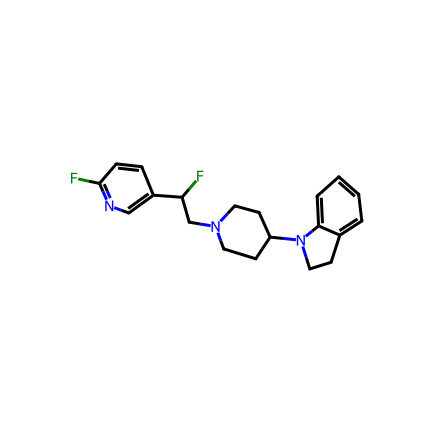 Fc1ccc(C(F)CN2CCC(N3CCc4ccccc43)CC2)cn1